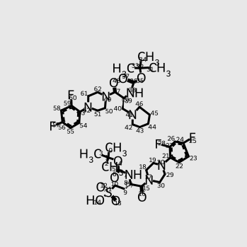 CC(C)(C)OC(=O)N[C@@H](CCS(=O)(=O)O)C(=O)N1CCN(c2ccc(F)cc2F)CC1.CC(C)(C)OC(=O)N[C@@H](CN1CCCCC1)C(=O)N1CCN(c2ccc(F)cc2F)CC1